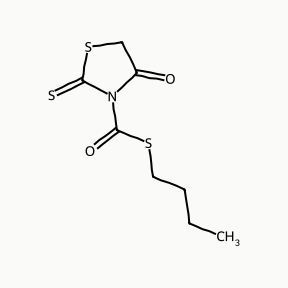 CCCCSC(=O)N1C(=O)CSC1=S